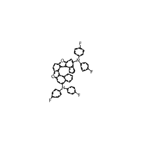 Fc1ccc(N(c2ccc(F)cc2)c2cc3oc4ccc5oc6cc(N(c7ccc(F)cc7)c7ccc(F)cc7)c7ccccc7c6c5c4c3c3ccccc23)cc1